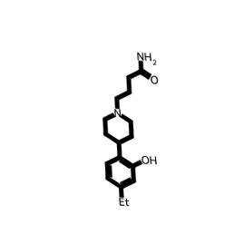 CCc1ccc(C2CCN(CCCC(N)=O)CC2)c(O)c1